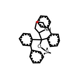 C[Si](C)(C)OC(c1ccccc1-c1ccccc1)(c1ccccc1-c1ccccc1)C1CCCN1